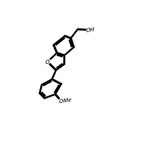 COc1cccc(-c2cc3cc(CO)ccc3o2)c1